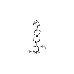 CC(C)(C)OC(=O)N1CCC2(CC1)CCN(c1cc(Cl)nnc1N)CC2